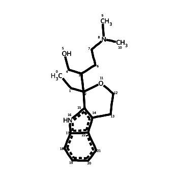 CCC1(C(CO)CCN(C)C)OCCc2c1[nH]c1ccccc21